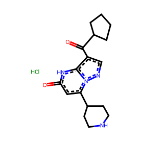 Cl.O=C(c1cnn2c(C3CCNCC3)cc(=O)[nH]c12)C1CCCC1